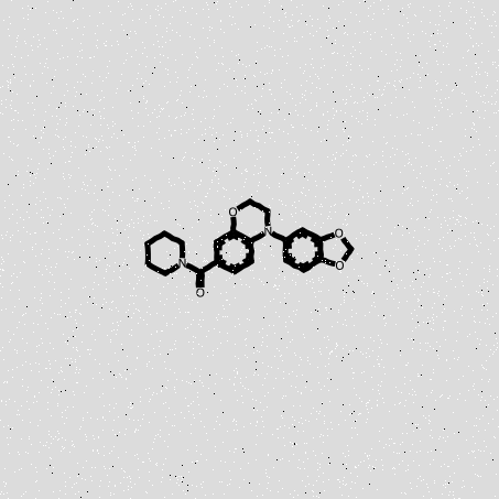 O=C(c1ccc2c(c1)OCCN2c1ccc2c(c1)OCO2)N1CCCCC1